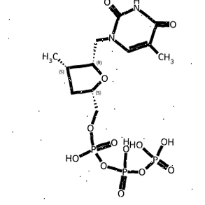 Cc1cn(C[C@@H]2O[C@H](COP(=O)(O)OP(=O)(O)OP(=O)(O)O)C[C@@H]2C)c(=O)[nH]c1=O